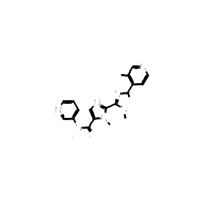 CCN(C(=O)c1cnc(C2=NC(c3ccncc3F)ON2C)n1C)c1cccnc1